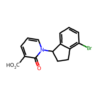 O=C(O)c1cccn(C2CCc3c(Br)cccc32)c1=O